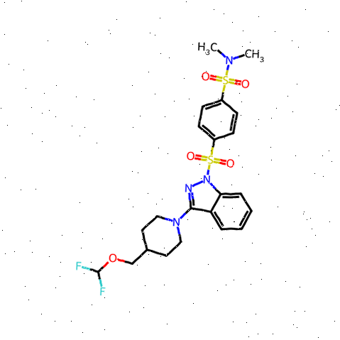 CN(C)S(=O)(=O)c1ccc(S(=O)(=O)n2nc(N3CCC(COC(F)F)CC3)c3ccccc32)cc1